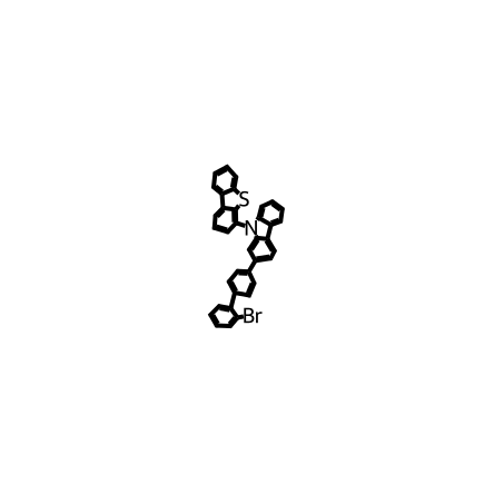 Brc1ccccc1-c1ccc(-c2ccc3c4ccccc4n(-c4cccc5c4sc4ccccc45)c3c2)cc1